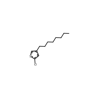 CCCCCCCCc1csc(Cl)c1